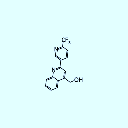 OCc1cc(-c2ccc(C(F)(F)F)nc2)nc2ccccc12